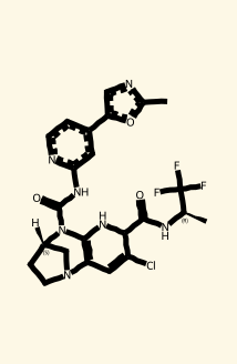 Cc1ncc(-c2ccnc(NC(=O)N3C4=C(C=C(Cl)C(C(=O)N[C@H](C)C(F)(F)F)N4)N4CC[C@H]3C4)c2)o1